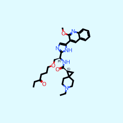 CCC(=O)CCCOC[C@H](NC(=O)[C@H]1CC12CCN(CC)CC2)c1ncc(-c2cc3ccccc3nc2OC)[nH]1